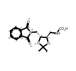 CC1(C)O[C@H](CNC(=O)O)[C@@H](CN2C(=O)c3ccccc3C2=O)O1